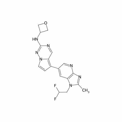 Cc1nc2ncc(-c3ccn4nc(NC5COC5)ncc34)cc2n1CC(F)F